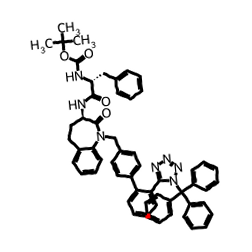 CC(C)(C)OC(=O)N[C@H](Cc1ccccc1)C(=O)N[C@@H]1CCc2ccccc2N(Cc2ccc(-c3ccccc3-c3nnnn3C(c3ccccc3)(c3ccccc3)c3ccccc3)cc2)C1=O